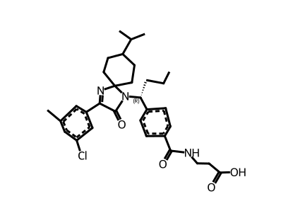 CCC[C@H](c1ccc(C(=O)NCCC(=O)O)cc1)N1C(=O)C(c2cc(C)cc(Cl)c2)=NC12CCC(C(C)C)CC2